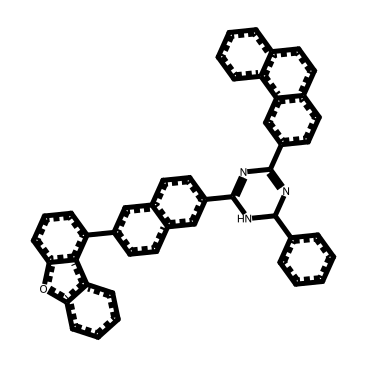 c1ccc(C2N=C(c3ccc4ccc5ccccc5c4c3)N=C(c3ccc4cc(-c5cccc6oc7ccccc7c56)ccc4c3)N2)cc1